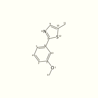 COc1cccc(-c2ncc(C)s2)c1